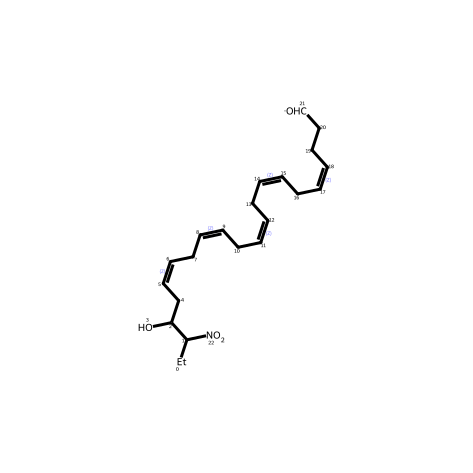 CCC(C(O)C/C=C\C/C=C\C/C=C\C/C=C\C/C=C\CC[C]=O)[N+](=O)[O-]